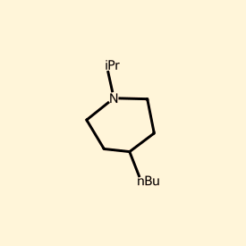 [CH2]CCCC1CCN(C(C)C)CC1